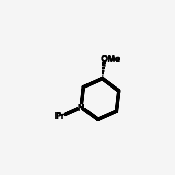 CO[C@@H]1CCCN(C(C)C)C1